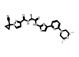 C[C@@H]1CN(c2cccc(-c3csc(NC(=S)[C@H](C)NC(=O)c4ccn(C5(C#N)CC5)n4)n3)n2)C[C@H](C)O1